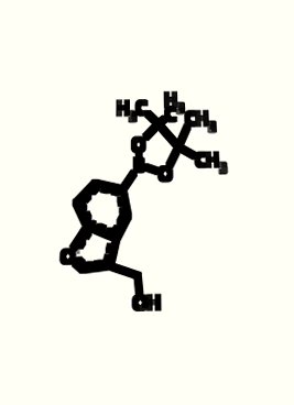 CC1(C)OB(c2ccc3occ(CO)c3c2)OC1(C)C